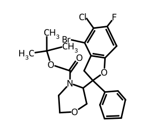 CC(C)(C)OC(=O)N1CCOCC1C1(c2ccccc2)Cc2c(cc(F)c(Cl)c2Br)O1